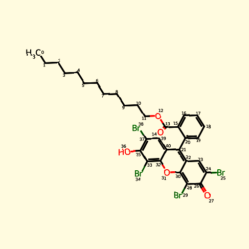 CCCCCCCCCCCCOC(=O)c1ccccc1-c1c2cc(Br)c(=O)c(Br)c-2oc2c(Br)c(O)c(Br)cc12